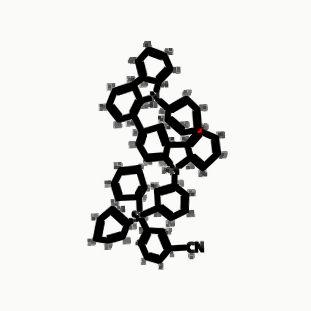 N#Cc1cccc([Si](c2ccccc2)(c2ccccc2)c2cccc(-n3c4ccccc4c4cc(-c5cccc6c7ccccc7n(-c7ccccc7)c56)ccc43)c2)c1